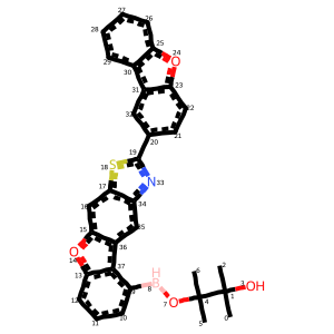 CC(C)(O)C(C)(C)OBc1cccc2oc3cc4sc(-c5ccc6oc7ccccc7c6c5)nc4cc3c12